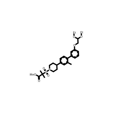 CCOC(COc1cccc(-c2ccc(C3CCN(S(=O)(=O)C(C)(C)C(=O)OC)CC3)cc2C)c1)OCC